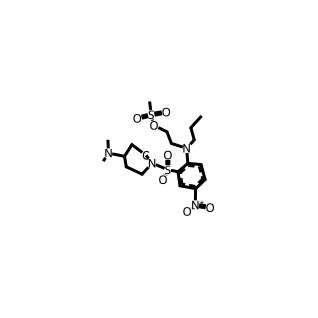 CCCN(CCOS(C)(=O)=O)c1ccc([N+](=O)[O-])cc1S(=O)(=O)N1CCC(N(C)C)CC1